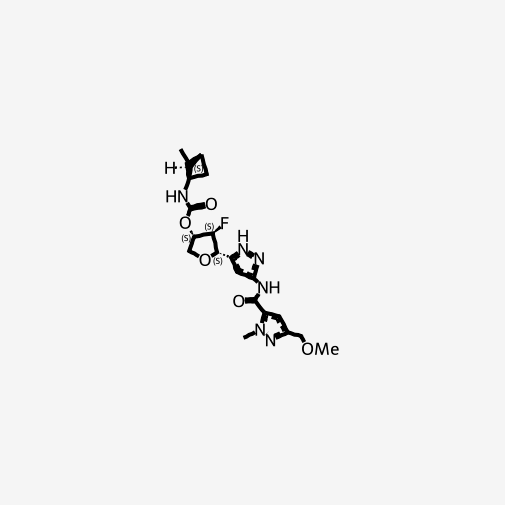 COCc1cc(C(=O)Nc2cc([C@@H]3OC[C@H](OC(=O)NC45CC(C4)[C@@H]5C)[C@H]3F)[nH]n2)n(C)n1